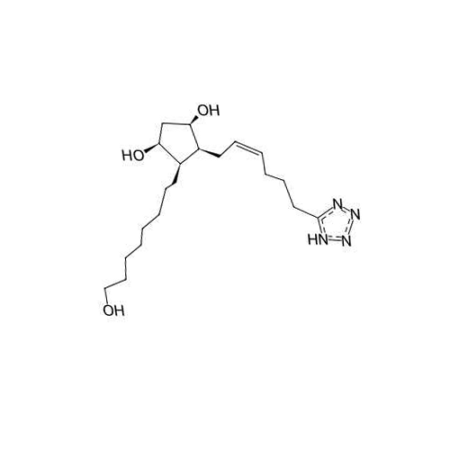 OCCCCCCCC[C@@H]1[C@H](C/C=C\CCCc2nnn[nH]2)[C@H](O)C[C@@H]1O